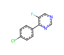 Fc1cncnc1-c1ccc(Cl)cc1